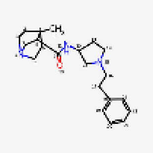 CC12CCN(CC1)CC2C(=O)N[C@H]1CCN(CCc2ccccc2)C1